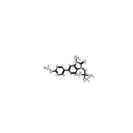 COc1ncc(-c2ccc3c(c2)n(C)c(=O)n3CC(C)(C)C)cn1